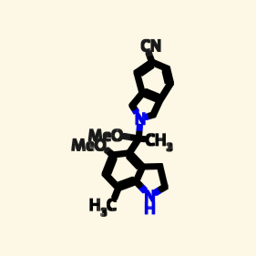 COc1cc(C)c2c(c1C(C)(OC)N1Cc3ccc(C#N)cc3C1)CCN2